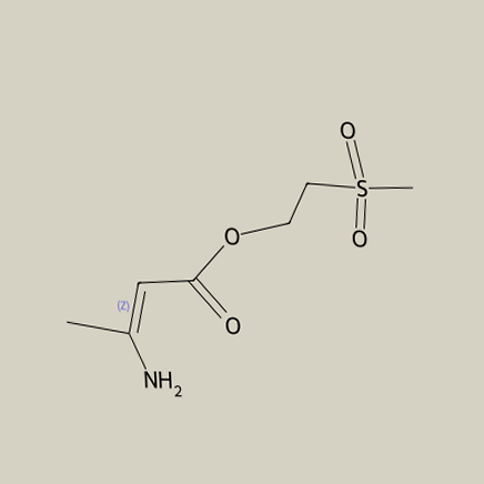 C/C(N)=C/C(=O)OCCS(C)(=O)=O